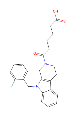 O=C(O)CCCCC(=O)N1CCc2c(n(Cc3ccccc3Cl)c3ccccc23)C1